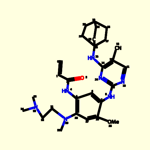 C=CC(=O)Nc1cc(Nc2ncc(C#N)c(NC34CCC(CC3)CC4)n2)c(OC)cc1N(C)CCN(C)C